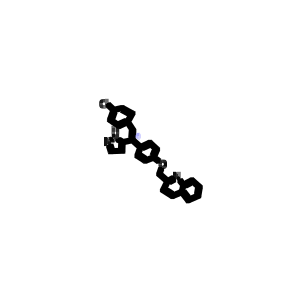 Clc1ccc(/C=C(/c2ccc(OCc3ccc4ccccc4n3)cc2)c2ccn[nH]2)cc1